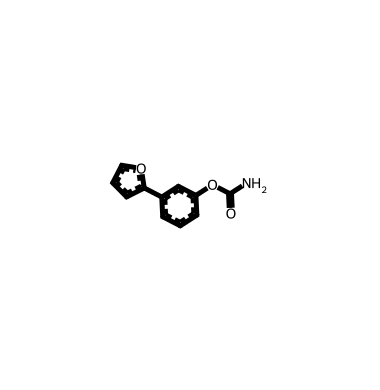 NC(=O)Oc1cccc(-c2ccco2)c1